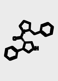 O=C([C@@H]1CNC[C@H]1c1ccccc1)N1CCC[C@H]1Cc1ccccc1